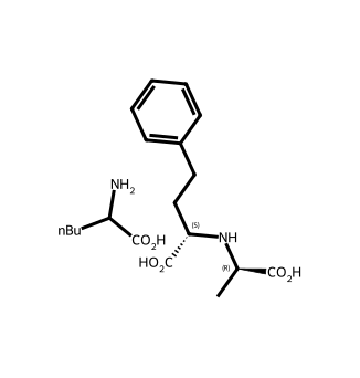 CCCCC(N)C(=O)O.C[C@@H](N[C@@H](CCc1ccccc1)C(=O)O)C(=O)O